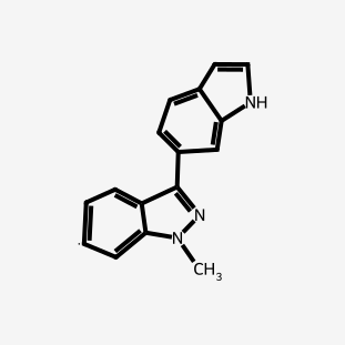 Cn1nc(-c2ccc3cc[nH]c3c2)c2cc[c]cc21